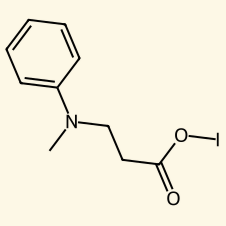 CN(CCC(=O)OI)c1ccccc1